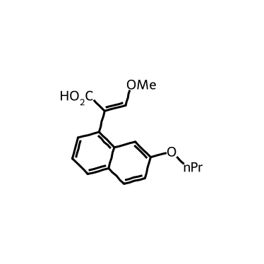 CCCOc1ccc2cccc(C(=COC)C(=O)O)c2c1